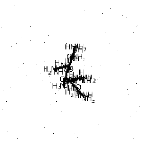 N=C(N)NCCC[C@@H](N)C(=O)NCCCC[C@@H](NC(=O)[C@H](N)CCCNC(=N)N)C(=O)CCCCC[C@@H](NC(=O)[C@@H](CCCCNC(=O)[C@H](N)CCCNC(=N)N)NC(=O)[C@H](N)CCCNC(=N)N)C(=O)NCC(N)=O